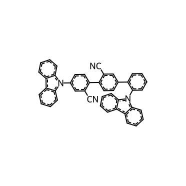 N#Cc1cc(-c2ccccc2-n2c3ccccc3c3ccccc32)ccc1-c1ccc(-n2c3ccccc3c3ccccc32)cc1C#N